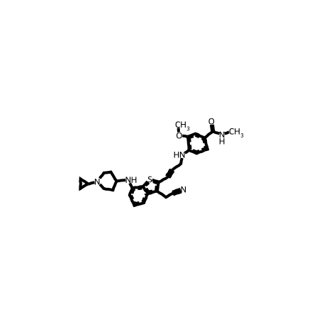 CNC(=O)c1ccc(NCC#Cc2sc3c(NC4CCN(C5CC5)CC4)cccc3c2CC#N)c(OC)c1